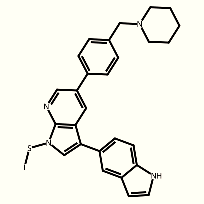 ISn1cc(-c2ccc3[nH]ccc3c2)c2cc(-c3ccc(CN4CCCCC4)cc3)cnc21